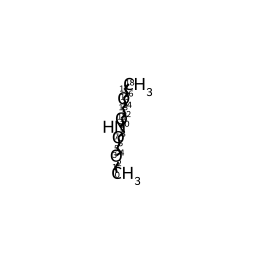 CCCOCCCOCNCOCCCOCCC